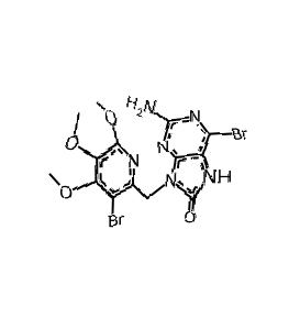 COc1nc(Cn2c(=O)[nH]c3c(Br)nc(N)nc32)c(Br)c(OC)c1OC